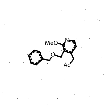 COc1nccc(CC(C)=O)c1COCc1ccccc1